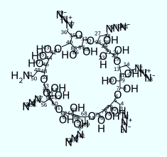 [N-]=[N+]=NCCC1OC(O)/C(O)=C(\O)C(CCN=[N+]=[N-])OC(O)/C(O)=C(\O)C(CCN=[N+]=[N-])OC2OC(CN=[N+]=[N-])C(OC(O)C(O)C(O)C(CCN)OC3OC(CN=[N+]=[N-])C(OC(O)/C(O)=C(\O)C(CCN=[N+]=[N-])OC(O)/C(O)=C\1O)C(O)C3O)C(O)C2O